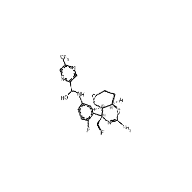 NC1=N[C@](CF)(c2cc(NC(O)c3cnc(C(F)(F)F)cn3)ccc2F)[C@H]2COCC[C@H]2O1